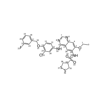 CCOc1cc2ncnc(Nc3ccc(OCc4cccc(F)c4)c(Cl)c3)c2cc1NS(=O)(=O)C1CSSC1